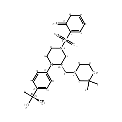 CC1(C)CN(C[C@H]2CN(S(=O)(=O)C3=CC=CCC3=S)CCN2c2ccc([C@@](C)(O)C(F)(F)F)cc2)CCO1